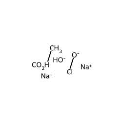 CC(=O)O.[Na+].[Na+].[O-]Cl.[OH-]